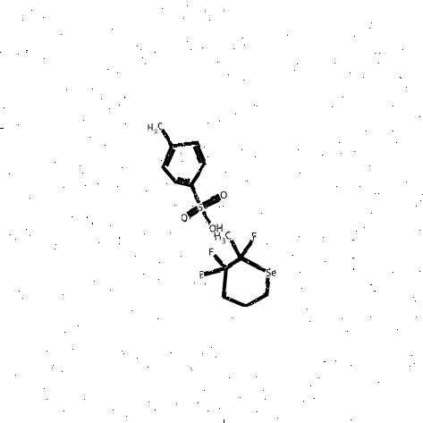 CC1(F)[Se]CCCC1(F)F.Cc1ccc(S(=O)(=O)O)cc1